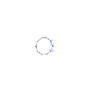 C1CCC/N=N\NCCC1